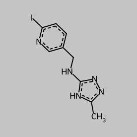 Cc1nnc(NCc2ccc(I)nc2)[nH]1